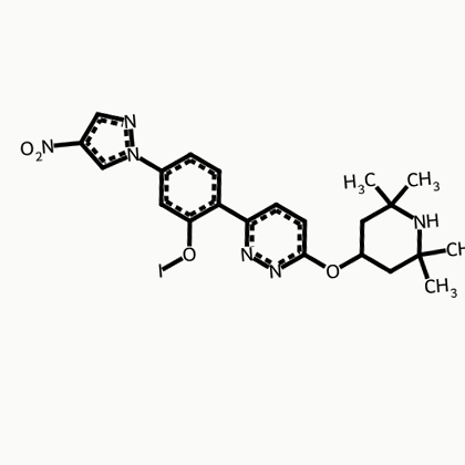 CC1(C)CC(Oc2ccc(-c3ccc(-n4cc([N+](=O)[O-])cn4)cc3OI)nn2)CC(C)(C)N1